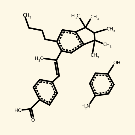 CCCCc1cc2c(cc1/C(C)=C/c1ccc(C(=O)O)cc1)C(C)(C)C(C)C2(C)C.Nc1ccc(O)cc1